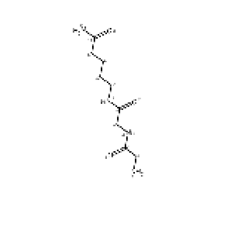 NCC(=O)NCC(=O)NCCCCC(N)=O